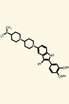 COc1ccc(-c2[nH]c3ccc(N4CCC(N5CCC(N(C)C)CC5)CC4)cc3c2C(C)C)cc1OC